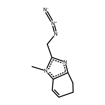 Cn1c(CN=[N+]=[N-])nc2c1C=CCC2